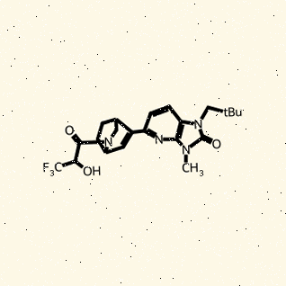 Cn1c(=O)n(CC(C)(C)C)c2ccc(C3=CC4CCC3CN4C(=O)C(O)C(F)(F)F)nc21